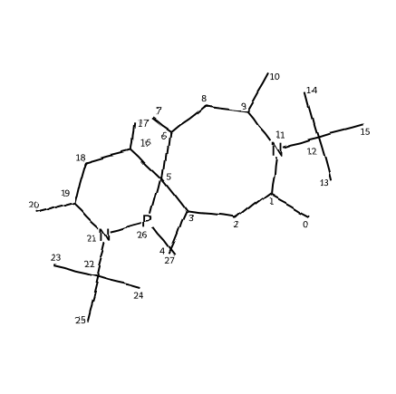 CC1CC(C)C2(C(C)CC(C)N1C(C)(C)C)C(C)CC(C)N(C(C)(C)C)P2C